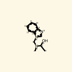 CC(O)N(C)Cn1cnc2ccccc21